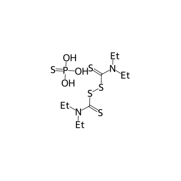 CCN(CC)C(=S)SSC(=S)N(CC)CC.OP(O)(O)=S